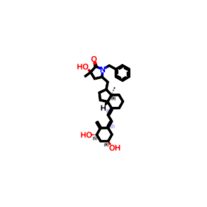 C=C1/C(=C\C=C2/CCC[C@]3(C)C(CC4CC(C)(O)C(=O)N4Cc4ccccc4)CC[C@@H]23)C[C@@H](O)C[C@@H]1O